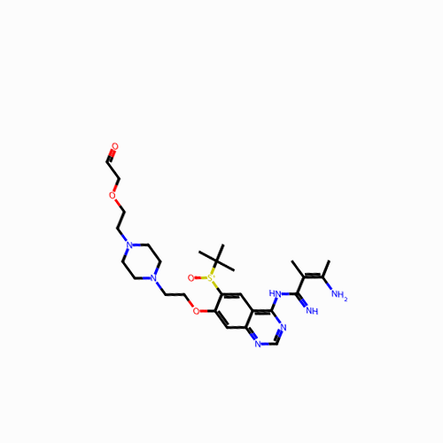 C/C(N)=C(\C)C(=N)Nc1ncnc2cc(OCCN3CCN(CCOCC=O)CC3)c([S+]([O-])C(C)(C)C)cc12